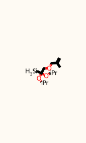 C=C(C)COCC([SiH3])(OC(C)C)OC(C)C